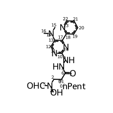 CCCCC[C@H](CN(O)C=O)C(=O)NNc1ncc(N(C)C)c(-c2ccccn2)n1